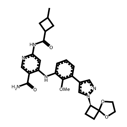 COc1c(Nc2cc(NC(=O)C3CC(C)C3)ncc2C(N)=O)cccc1-c1cnn([C@@H]2CCC23OCCO3)c1